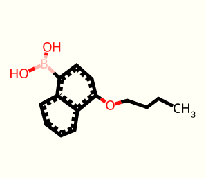 CCCCOc1ccc(B(O)O)c2ccccc12